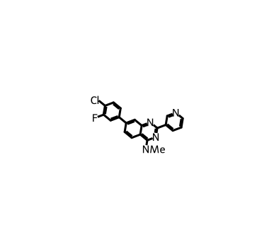 CNc1nc(-c2cccnc2)nc2cc(-c3ccc(Cl)c(F)c3)ccc12